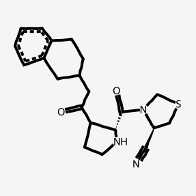 N#C[C@@H]1CSCN1C(=O)[C@@H]1NCCC1C(=O)CC1CCc2ccccc2C1